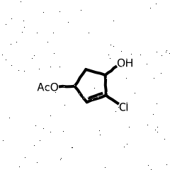 CC(=O)OC1C=C(Cl)C(O)C1